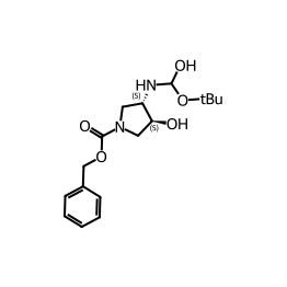 CC(C)(C)OC(O)N[C@H]1CN(C(=O)OCc2ccccc2)C[C@@H]1O